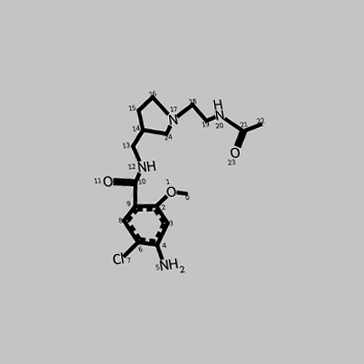 COc1cc(N)c(Cl)cc1C(=O)NCC1CCN(CCNC(C)=O)C1